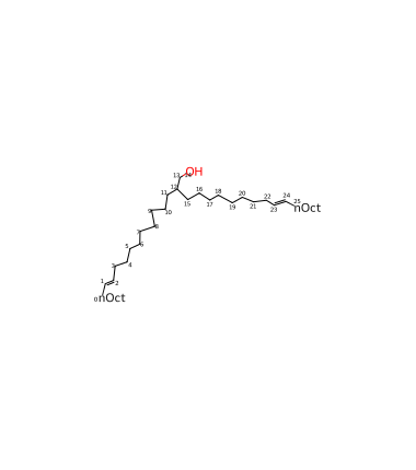 CCCCCCCCC=CCCCCCCCCCC(CO)CCCCCCCCC=CCCCCCCCC